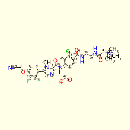 Cn1c(-c2ccc(OCC#N)c(F)c2F)cnc1C(=O)Nc1ccc(C(=O)NCCNC(=O)C[N+](C)(C)C)c(Cl)c1.O=C[O-]